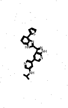 CC(C)Nc1cncc(-c2cnc3[nH]nc(-c4nc5c(-c6cccs6)cccc5[nH]4)c3c2)c1